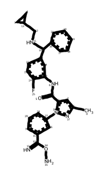 Cc1cc(C(=O)Nc2cc(C(NCC3CC3)c3ccccc3)ccc2F)n(-c2cccc(C(=N)ON)c2)n1